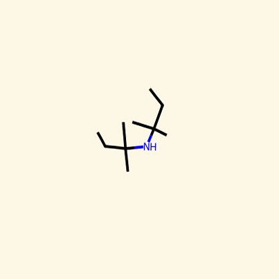 CCC(C)(C)NC(C)(C)CC